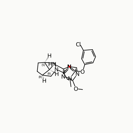 COc1cc(N2C[C@H]3CC[C@@H](C2)[C@H]3Nc2nc(Oc3cccc(Cl)c3)n(C)n2)ncn1